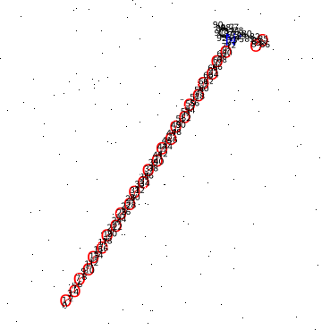 COCCOCCOCCOCCOCCOCCOCCOCCOCCOCCOCCOCCOCCOCCOCCOCCOCCOCCOCCOCCOCCOCCOCCOCC[N+]1=C(C)C(C)(CCCCCC(=O)OC)c2cc(C)ccc21